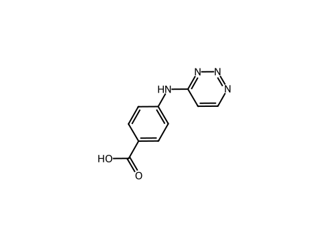 O=C(O)c1ccc(Nc2ccnnn2)cc1